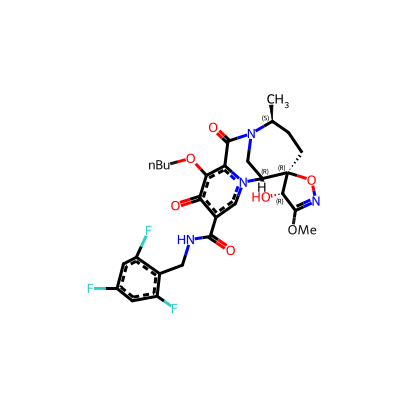 CCCCOc1c2n(cc(C(=O)NCc3c(F)cc(F)cc3F)c1=O)[C@@H]1CN(C2=O)[C@@H](C)CC[C@@]12ON=C(OC)[C@@H]2O